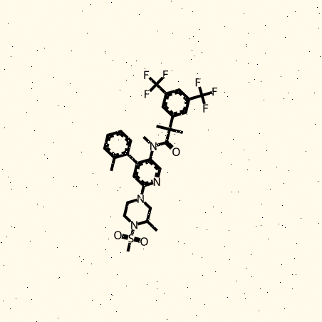 Cc1ccccc1-c1cc(N2CCN(S(C)(=O)=O)C(C)C2)ncc1N(C)C(=O)C(C)(C)c1cc(C(F)(F)F)cc(C(F)(F)F)c1